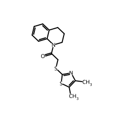 Cc1nc(SCC(=O)N2CCCc3ccccc32)sc1C